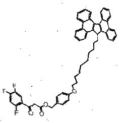 O=C(CC(=O)c1cc(F)c(F)cc1F)OCc1ccc(OCCCCCCCCCCC2c3c(c4ccccc4c4ccccc34)-c3c2c2ccccc2c2ccccc32)cc1